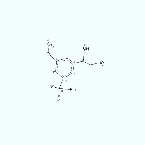 COc1cc(C(O)CBr)cc(C(F)(F)F)c1